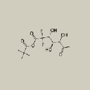 CC(=O)C(O)[C@@H](O)[C@@H](O)C(F)(F)C(=O)OC(=O)C(C)(C)C